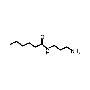 CCCCCC(=O)NCCCN